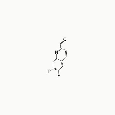 O=Cc1ccc2cc(F)c(F)cc2n1